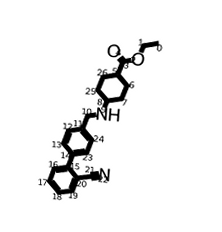 CCOC(=O)C1CCC(NCc2ccc(-c3ccccc3C#N)cc2)CC1